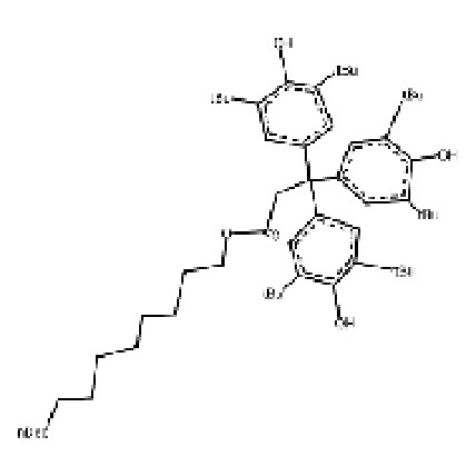 CCCCCCCCCCCCCCCCCCOC(=O)CC(c1cc(C(C)(C)C)c(O)c(C(C)(C)C)c1)(c1cc(C(C)(C)C)c(O)c(C(C)(C)C)c1)c1cc(C(C)(C)C)c(O)c(C(C)(C)C)c1